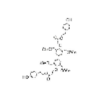 COCc1cc(-c2cc(COC)c(OCC(=O)OCCc3ccc(O)cc3)c(COC)c2)cc(COC)c1OCCC(=O)OCCc1ccc(O)cc1